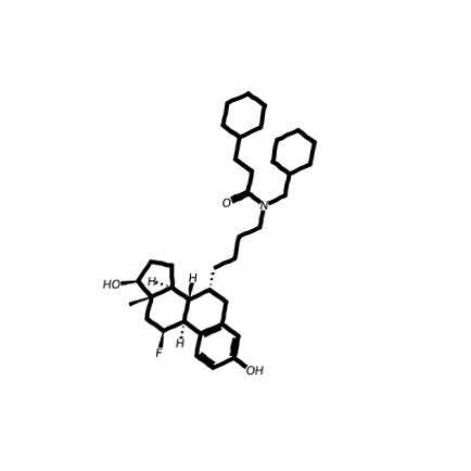 C[C@]12C[C@H](F)[C@@H]3c4ccc(O)cc4C[C@@H](CCCCN(CC4CCCCC4)C(=O)CCC4CCCCC4)[C@H]3[C@@H]1CC[C@@H]2O